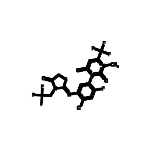 Cn1c(C(F)(F)F)cc(=O)n(-c2cc(N=C3SCC(=O)N3CC(F)(F)F)c(Cl)cc2F)c1=O